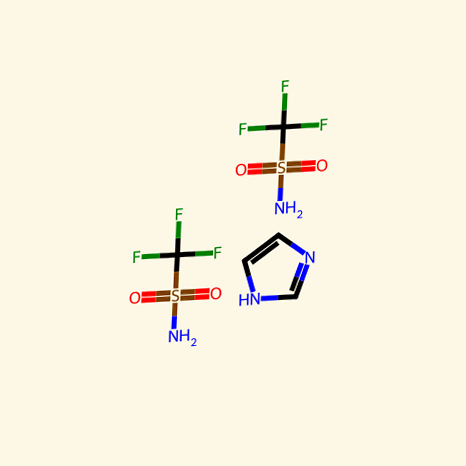 NS(=O)(=O)C(F)(F)F.NS(=O)(=O)C(F)(F)F.c1c[nH]cn1